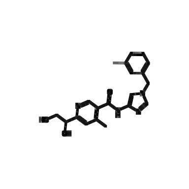 Cc1cccc(Cn2cnc(NC(=O)c3cnc(C(O)CO)cc3C)c2)c1